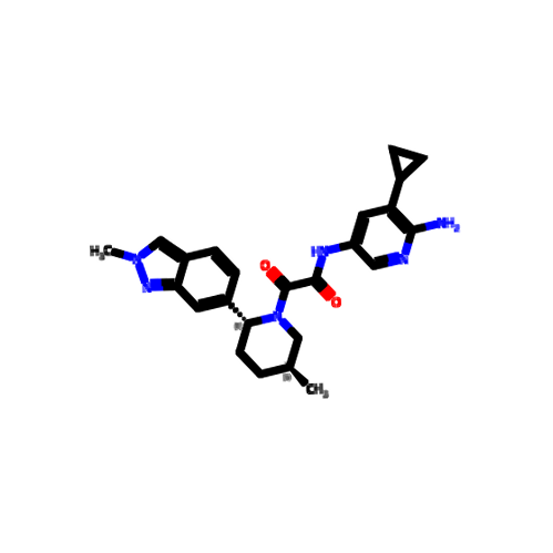 C[C@H]1CC[C@H](c2ccc3cn(C)nc3c2)N(C(=O)C(=O)Nc2cnc(N)c(C3CC3)c2)C1